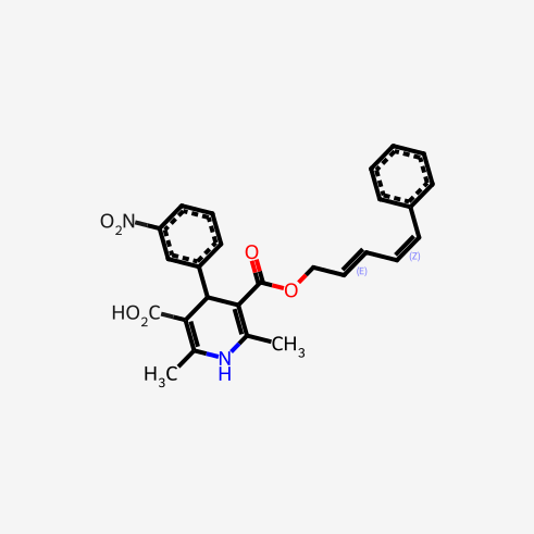 CC1=C(C(=O)O)C(c2cccc([N+](=O)[O-])c2)C(C(=O)OC/C=C/C=C\c2ccccc2)=C(C)N1